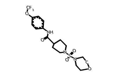 O=C(Nc1ccc(OC(F)(F)F)cc1)C1CCN(S(=O)(=O)N2CCOCC2)CC1